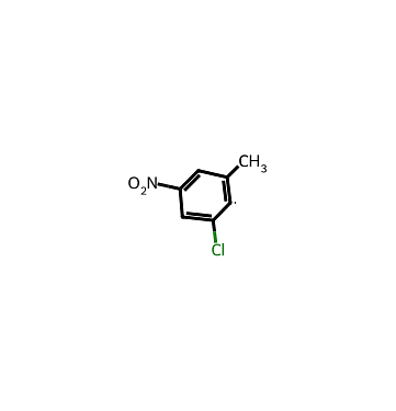 Cc1[c]c(Cl)cc([N+](=O)[O-])c1